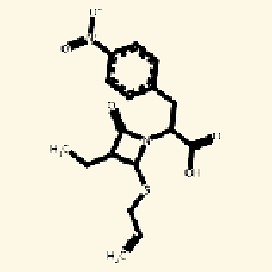 C=CCSC1C(CC)C(=O)N1C(Cc1ccc([N+](=O)[O-])cc1)C(=O)O